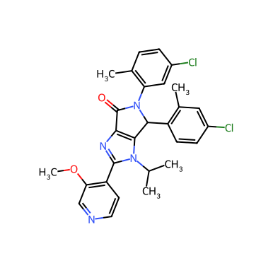 COc1cnccc1-c1nc2c(n1C(C)C)C(c1ccc(Cl)cc1C)N(c1cc(Cl)ccc1C)C2=O